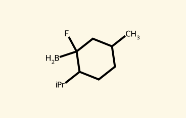 BC1(F)CC(C)CCC1C(C)C